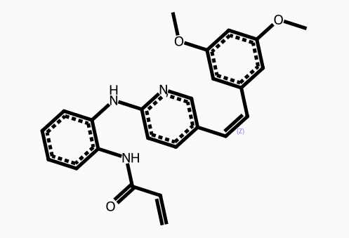 C=CC(=O)Nc1ccccc1Nc1ccc(/C=C\c2cc(OC)cc(OC)c2)cn1